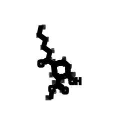 CCCCCC(=O)c1ccc(O)c(C(=O)OC)c1